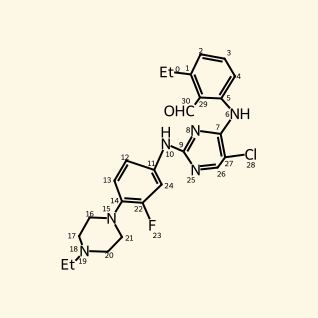 CCc1cccc(Nc2nc(Nc3ccc(N4CCN(CC)CC4)c(F)c3)ncc2Cl)c1C=O